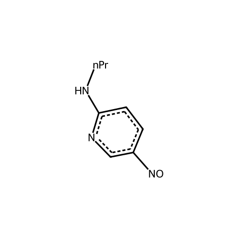 CCCNc1ccc(N=O)cn1